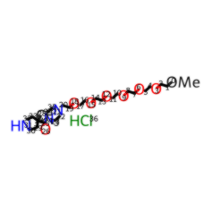 COCCOCCOCCOCCOCCOCCOCCN1CCN(C(=O)C2(C(F)(F)F)CCNCC2)CC1.Cl